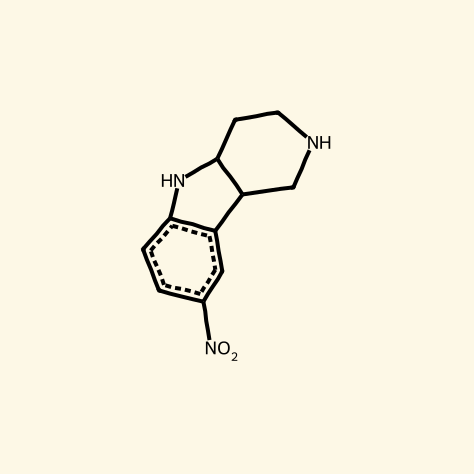 O=[N+]([O-])c1ccc2c(c1)C1CNCCC1N2